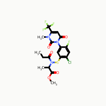 CCC(=O)N(Sc1cc(-n2c(=O)cc(C(F)(F)F)n(C)c2=O)c(F)cc1Cl)C(C)C(=O)OC